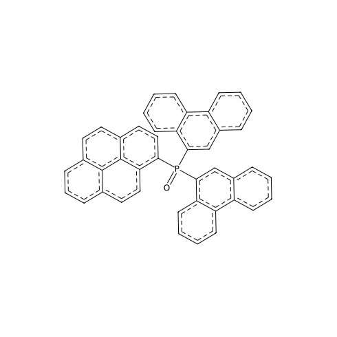 O=P(c1cc2ccccc2c2ccccc12)(c1cc2ccccc2c2ccccc12)c1ccc2ccc3cccc4ccc1c2c34